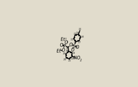 CCOP(=O)(OCC)C(OS(=O)(=O)c1ccc(C)cc1)c1cccc([N+](=O)[O-])c1